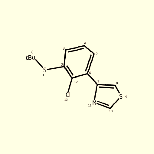 CC(C)(C)Sc1cccc(-c2cscn2)c1Cl